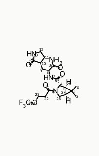 CC1(C)[C@@H]2[C@@H](C(=O)N[C@@H](C[C@@H]3CCNC3=O)C(N)=O)N(C(=O)CCOC(F)(F)F)C[C@@H]21